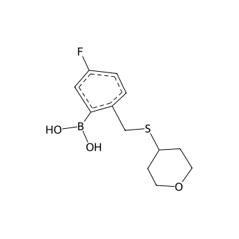 OB(O)c1cc(F)ccc1CSC1CCOCC1